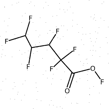 O=C(OF)C(F)(F)C(F)C(F)C(F)F